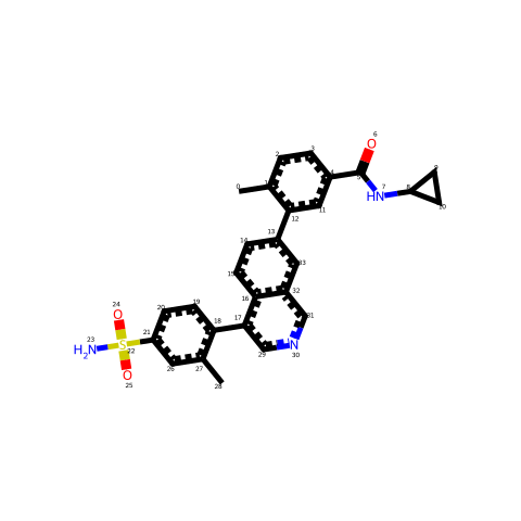 Cc1ccc(C(=O)NC2CC2)cc1-c1ccc2c(-c3ccc(S(N)(=O)=O)cc3C)cncc2c1